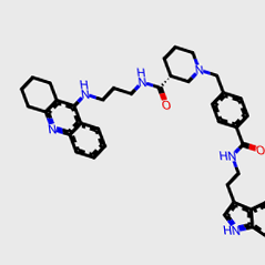 O=C(NCCc1c[nH]c2ccccc12)c1ccc(CN2CCC[C@@H](C(=O)NCCCNc3c4c(nc5ccccc35)CCCC4)C2)cc1